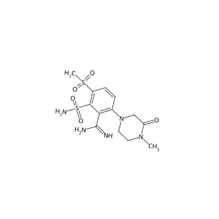 CN1CCN(c2ccc(S(C)(=O)=O)c(S(N)(=O)=O)c2C(=N)N)CC1=O